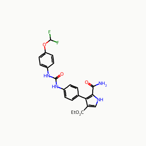 CCOC(=O)c1c[nH]c(C(N)=O)c1-c1ccc(NC(=O)Nc2ccc(OC(F)F)cc2)cc1